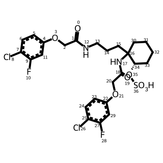 O=C(COc1ccc(Cl)c(F)c1)NCCCC1(NC(=O)COc2ccc(Cl)c(F)c2)CCCC[C@@H]1OS(=O)(=O)O